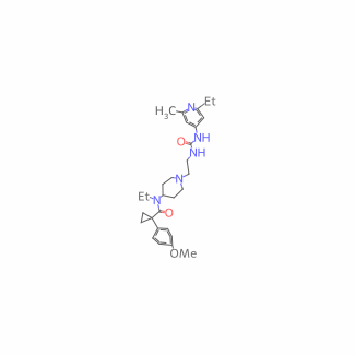 CCc1cc(NC(=O)NCCN2CCC(N(CC)C(=O)C3(c4ccc(OC)cc4)CC3)CC2)cc(C)n1